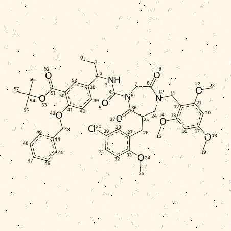 CCC(NC(=O)N1CC(=O)N(Cc2c(OC)cc(OC)cc2OC)CC(Cc2cc(Cl)ccc2OC)C1=O)c1ccc(OCc2ccccc2)c(C(=O)OC(C)(C)C)c1